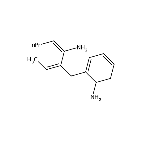 C/C=C(CC1=CC=CCC1N)\C(N)=C/CCC